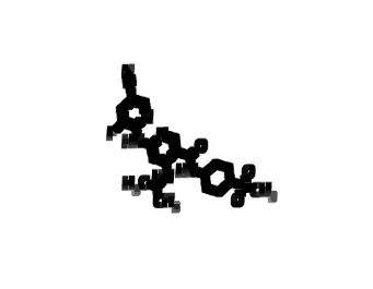 CC(C)Nc1cc(Nc2ncc(C#N)cc2F)ncc1C(=O)NC1CCC(S(C)(=O)=O)CC1